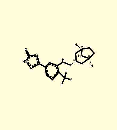 O=c1[nH]nc(-c2ccc(C(F)(F)F)c(NC[C@@H]3C[C@H]4CC[C@@H](C3)N4)c2)o1